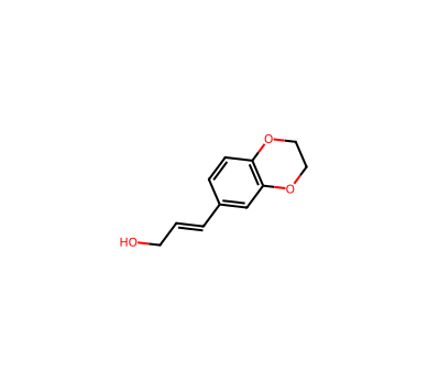 OCC=Cc1ccc2c(c1)OCCO2